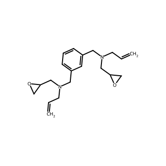 C=CCN(Cc1cccc(CN(CC=C)CC2CO2)c1)CC1CO1